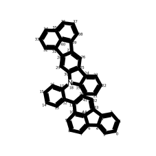 c1ccc2c(c1)-c1cccc3c(-c4ccccc4-n4c5ccccc5c5cc6c(cc54)-c4cccc5cccc-6c45)ccc-2c13